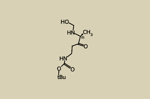 C[C@H](NCO)C(=O)CCNC(=O)OC(C)(C)C